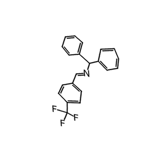 FC(F)(F)c1ccc(C=NC(c2ccccc2)c2ccccc2)cc1